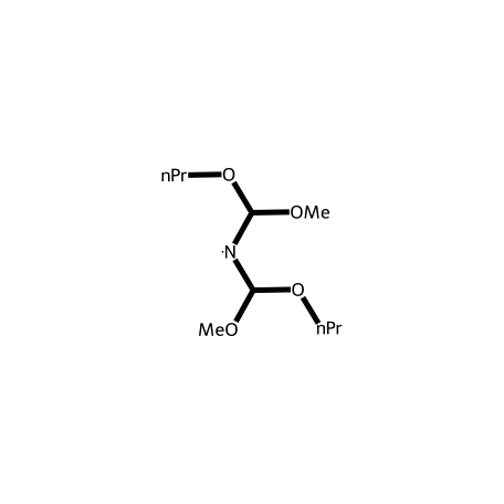 CCCOC([N]C(OC)OCCC)OC